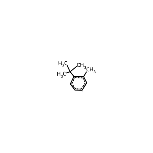 Cc1c[c]ccc1C(C)(C)C